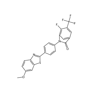 COc1ccc2nc(-c3ccc(N4C(=O)c5cc4c(F)c(C(F)(F)F)c5)cc3)sc2c1